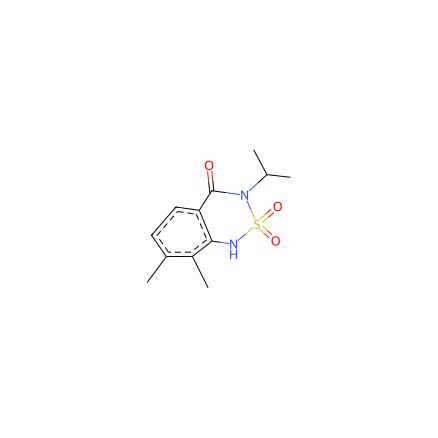 Cc1ccc2c(c1C)NS(=O)(=O)N(C(C)C)C2=O